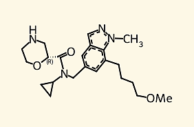 COCCCCc1cc(CN(C(=O)[C@H]2CNCCO2)C2CC2)cc2cnn(C)c12